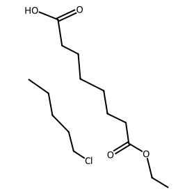 CCCCCCl.CCOC(=O)CCCCCCC(=O)O